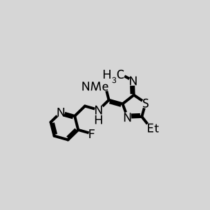 CCC1=NC(=C(/NC)NCc2ncccc2F)/C(=N\C)S1